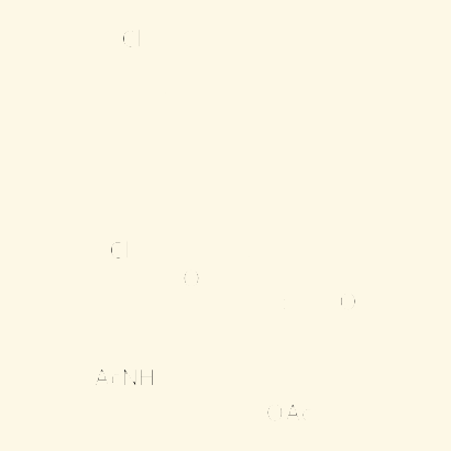 CC(=O)NC1=C(OC(C)=O)C(=O)C(C)(c2ccc(Cl)cc2Cl)O1